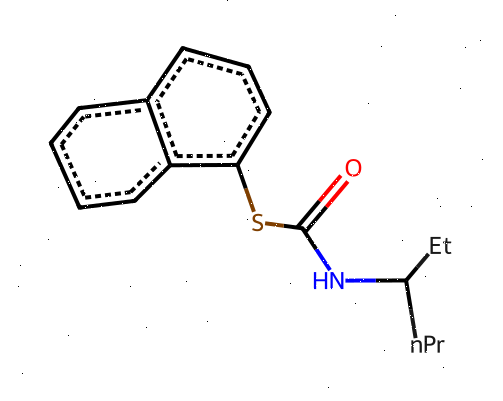 CCCC(CC)NC(=O)Sc1cccc2ccccc12